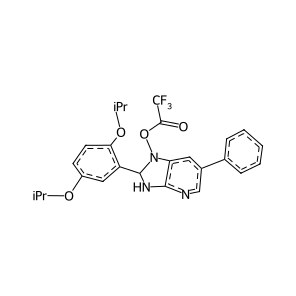 CC(C)Oc1ccc(OC(C)C)c(C2Nc3ncc(-c4ccccc4)cc3N2OC(=O)C(F)(F)F)c1